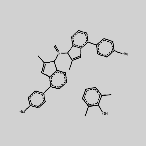 Cc1cccc(C)c1O.[CH2]=[Zr]([CH]1C(C)=Cc2c(-c3ccc(C(C)(C)C)cc3)cccc21)[CH]1C(C)=Cc2c(-c3ccc(C(C)(C)C)cc3)cccc21